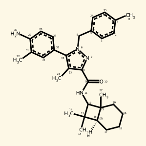 Cc1ccc(Cn2nc(C(=O)NC3C(C)(C)[C@@H]4CCCCC34C)c(C)c2-c2ccc(N)c(C)c2)cc1